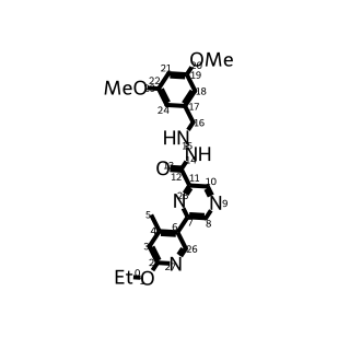 CCOc1cc(C)c(-c2cncc(C(=O)NNCc3cc(OC)cc(OC)c3)n2)cn1